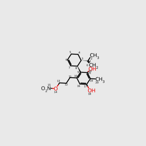 C=C(C)[C@H]1CCC=C[C@@H]1c1c(CCCO[N+](=O)[O-])cc(O)c(C)c1O